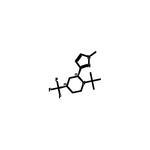 Cn1ccc([C@@H]2C[C@H](C(F)(F)F)CCN2C(C)(C)C)n1